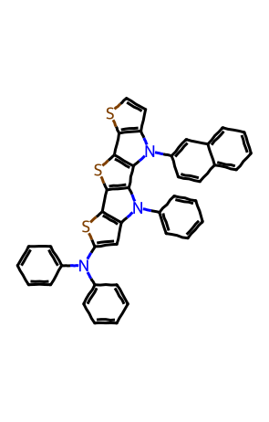 c1ccc(N(c2ccccc2)c2cc3c(s2)c2sc4c5sccc5n(-c5ccc6ccccc6c5)c4c2n3-c2ccccc2)cc1